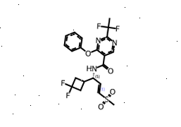 CC(F)(F)c1ncc(C(=O)N[C@H](/C=C/S(C)(=O)=O)C2CC(F)(F)C2)c(Oc2ccccc2)n1